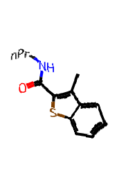 CCCNC(=O)c1sc2ccccc2c1C